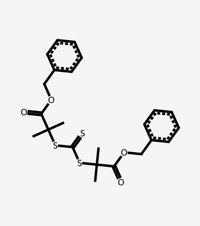 CC(C)(SC(=S)SC(C)(C)C(=O)OCc1ccccc1)C(=O)OCc1ccccc1